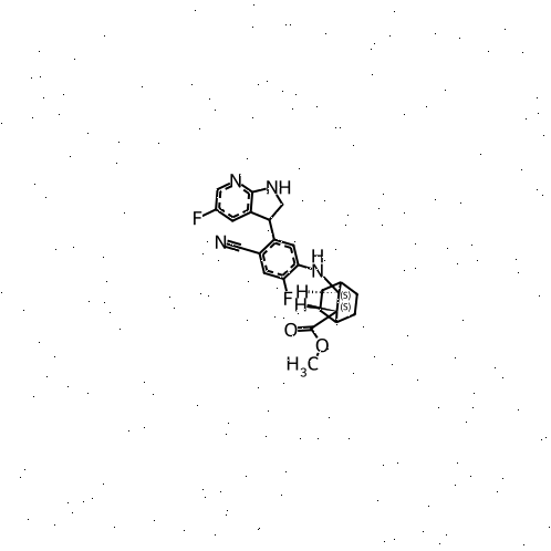 COC(=O)[C@H]1C2CCC(CC2)[C@@H]1Nc1cc(C2CNc3ncc(F)cc32)c(C#N)cc1F